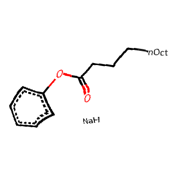 CCCCCCCCCCCC(=O)Oc1ccccc1.[NaH]